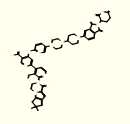 C[C@H]1CN(C2CCN(c3ccc4c(c3)C(=O)N(C3CCC(=O)NC3=O)C4=O)CC2)CCN1c1ccc(Nc2cc(-c3ccnc(N4CCn5c(cc6c5CC(C)(C)C6)C4=O)c3CO)ncc2C(N)=O)nc1